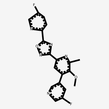 COc1c(-c2cncc(F)c2)cc(-c2noc(-c3ccc(F)cn3)n2)nc1C